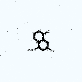 COc1cc(Br)cc2c(Cl)ncnc12